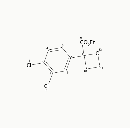 CCOC(=O)C1(c2ccc(Cl)c(Cl)c2)CCO1